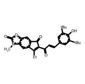 CCC1=C(C(=O)C=Cc2cc(C(C)(C)C)c(O)c(C(C)(C)C)c2)C(=O)c2cc3oc(=O)n(C)c3cc21